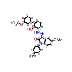 COc1ccc2c(c1)C(=NNc1cccc(-c3cccc(OC(=O)O)c3)c1O)C(=O)N2c1ccc(C(C)C)cc1